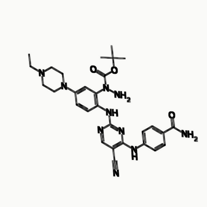 CCN1CCN(c2ccc(Nc3ncc(C#N)c(Nc4ccc(C(N)=O)cc4)n3)c(N(N)C(=O)OC(C)(C)C)c2)CC1